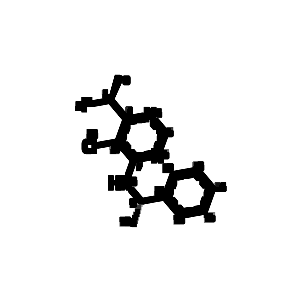 C[C@H](F)c1ncnc(N[C@@H](C)c2ccccc2)c1Cl